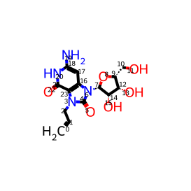 C=CCn1c(=O)n([C@@H]2O[C@H](CO)[C@H](O)[C@@H]2O)c2cc(N)[nH]c(=O)c21